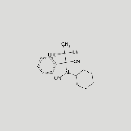 CC(C)(C#N)C(C#N)(c1ccccc1)N(N=O)C1CCCCC1